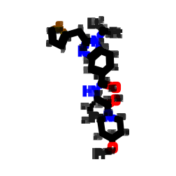 CCC(CC)n1c(Cc2cccs2)nc2cc(C(=O)N[C@@H](CC(C)C)C(=O)N3CCC(OC(C)C)CC3)ccc21